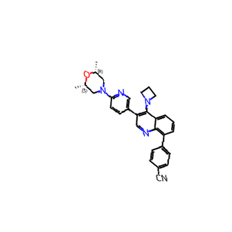 C[C@@H]1CN(c2ccc(-c3cnc4c(-c5ccc(C#N)cc5)cccc4c3N3CCC3)cn2)C[C@H](C)O1